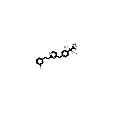 CC(C)(C(N)=O)c1ccc(Cc2ccnc(CCc3cccc(Cl)c3)n2)cc1